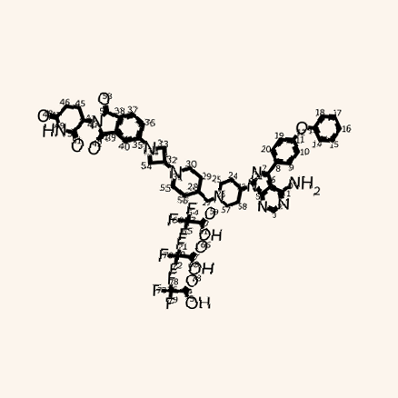 Nc1ncnc2c1c(-c1ccc(Oc3ccccc3)cc1)nn2C1CCN(CC2CCN(C3CN(c4ccc5c(c4)C(=O)N(C4CCC(=O)NC4=O)C5=O)C3)CC2)CC1.O=C(O)C(F)(F)F.O=C(O)C(F)(F)F.O=C(O)C(F)(F)F